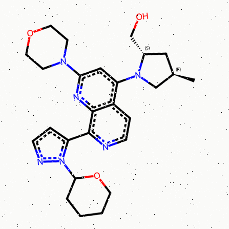 C[C@@H]1C[C@@H](CO)N(c2cc(N3CCOCC3)nc3c(-c4ccnn4C4CCCCO4)nccc23)C1